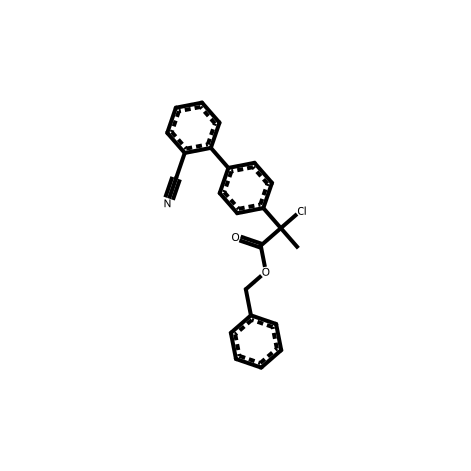 CC(Cl)(C(=O)OCc1ccccc1)c1ccc(-c2ccccc2C#N)cc1